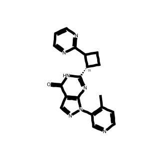 Cc1ccncc1-n1ncc2c(=O)[nH]c([C@H]3CCC3c3ncccn3)nc21